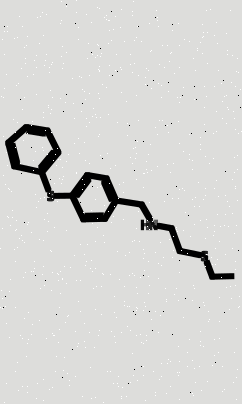 CCSCCNCc1ccc(Sc2ccccc2)cc1